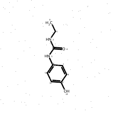 [CH2]CNC(=O)Nc1ccc(O)cc1